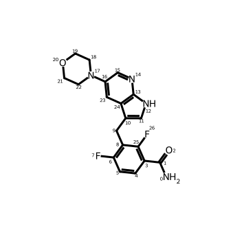 NC(=O)c1ccc(F)c(Cc2c[nH]c3ncc(N4CCOCC4)cc23)c1F